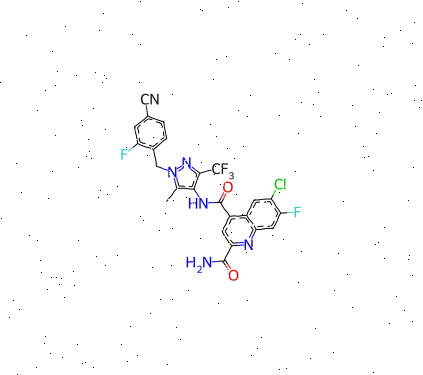 Cc1c(NC(=O)c2cc(C(N)=O)nc3cc(F)c(Cl)cc23)c(C(F)(F)F)nn1Cc1ccc(C#N)cc1F